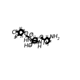 Nc1ccnc(C(=O)NC23CCC(NC(=O)COc4ccc(Cl)c(F)c4)(CC2)C(O)C3)c1